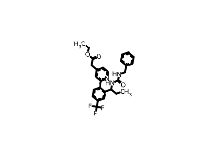 CCOC(=O)Cc1ccnc(-c2ccc(C(F)(F)F)cc2C(CC)NC(=O)NCc2ccccc2)c1